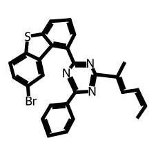 C/C=C\C=C(/C)c1nc(-c2ccccc2)nc(-c2cccc3sc4ccc(Br)cc4c23)n1